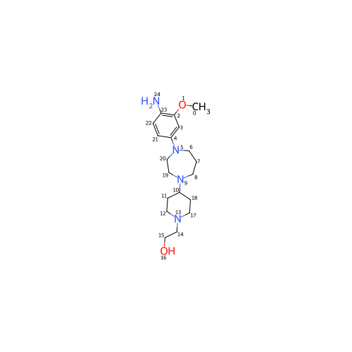 COc1cc(N2CCCN(C3CCN(CCO)CC3)CC2)ccc1N